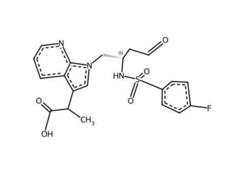 CC(C(=O)O)c1cn(C[C@H](CC=O)NS(=O)(=O)c2ccc(F)cc2)c2ncccc12